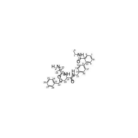 CCNC(=O)c1ccccc1-c1ccc(CNC(=O)C(COCc2ccccc2)NC(=O)C(C)(C)N)cc1